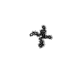 CC1(C)c2ccccc2-c2cc(-c3cccc(N4c5cc6c(cc5-c5ccc(-c7ccccc7)c7cccc4c57)c4cc(-c5ccccc5)ccc4n6-c4cccc(-c5ccc6c(c5)-c5ccccc5C6(C)C)c4)c3)ccc21